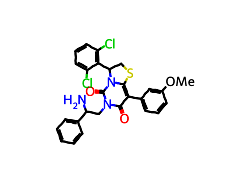 COc1cccc(-c2c3n(c(=O)n(CC(N)c4ccccc4)c2=O)C(c2c(Cl)cccc2Cl)CS3)c1